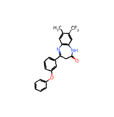 Cc1cc2c(cc1C(F)(F)F)NC(=O)CC(c1cccc(Oc3ccccc3)c1)=N2